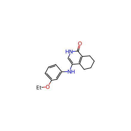 CCOc1cccc(Nc2c[nH]c(=O)c3c2CCCC3)c1